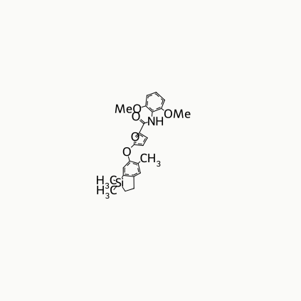 COc1cccc(OC)c1NC(=O)c1ccc(Oc2cc3c(cc2C)CC[Si]3(C)C)o1